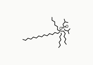 CCCCCCCCCCCCCCP(CCCCCC)(CCCCCC)(CCCCCC)OP(=O)(CC(C)C)CC(C)C